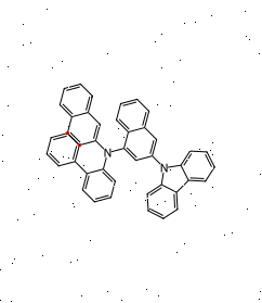 c1ccc(-c2ccccc2N(c2ccc3ccccc3c2)c2cc(-n3c4ccccc4c4ccccc43)cc3ccccc23)cc1